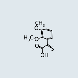 COc1cccc(C(=S)C(=O)O)c1OC